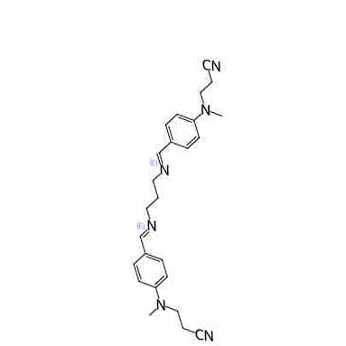 CN(CCC#N)c1ccc(/C=N/CCC/N=C/c2ccc(N(C)CCC#N)cc2)cc1